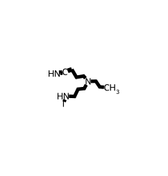 CCCN(CCC=C=N)CCCNI